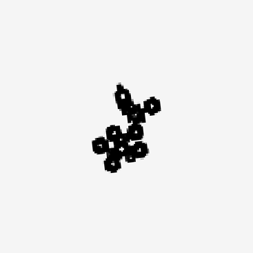 CC1CC2CC(C1)CC(C)(c1nc(-c3ccccc3)nc(-c3cccc(-n4c5ccccc5c5c6c(c7ccccc7n6-c6ccccc6)c6oc7ccccc7c6c54)c3)n1)C2